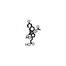 CC(=O)S[C@@H]1CC2=CC(=O)C=C[C@@]23COC(=O)[C@]24CCC3[C@@H]1[C@@H]2CC[C@@]4(O)CCC(=O)O